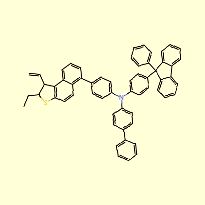 C=CC1c2c(ccc3c(-c4ccc(N(c5ccc(-c6ccccc6)cc5)c5ccc(C6(c7ccccc7)c7ccccc7-c7ccccc76)cc5)cc4)cccc23)SC1CC